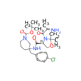 C[C@H](N)C(=O)N1[C@H](C(=O)NC2(Cc3ccc(Cl)cc3)CCCN(C(=O)OC(C)(C)C)C2)COC1(C)C